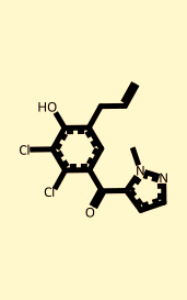 C=CCc1cc(C(=O)c2ccnn2C)c(Cl)c(Cl)c1O